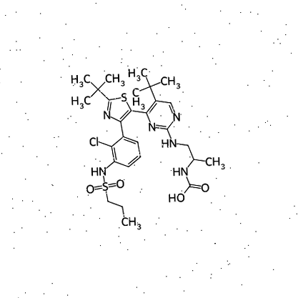 CCCS(=O)(=O)Nc1cccc(-c2nc(C(C)(C)C)sc2-c2nc(NCC(C)NC(=O)O)ncc2C(C)(C)C)c1Cl